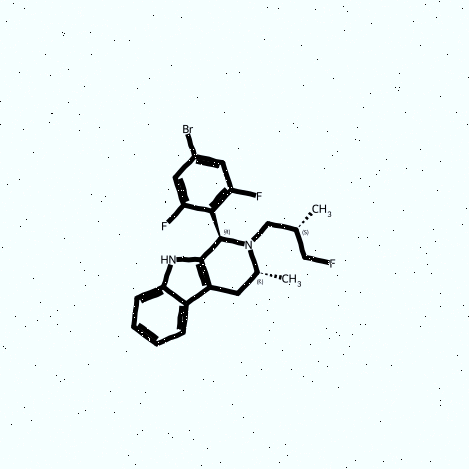 C[C@H](CF)CN1[C@H](c2c(F)cc(Br)cc2F)c2[nH]c3ccccc3c2C[C@H]1C